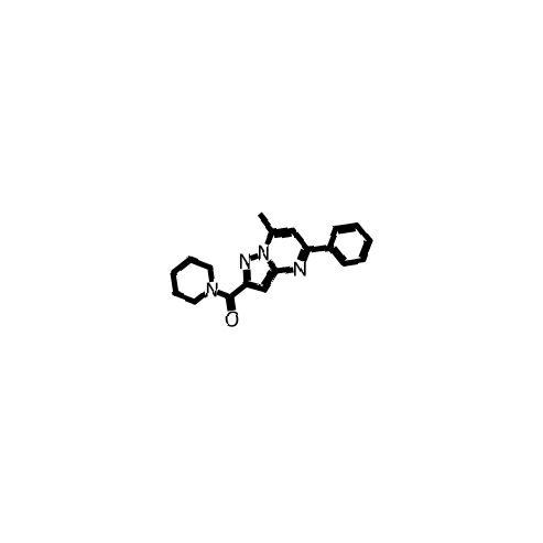 Cc1cc(-c2ccccc2)nc2cc(C(=O)N3CCCCC3)nn12